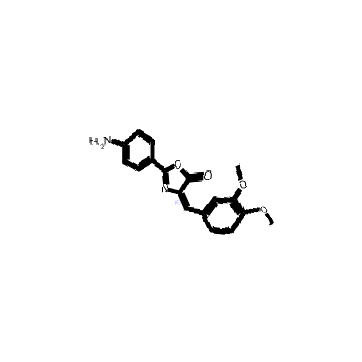 COc1ccc(/C=C2/N=C(c3ccc(N)cc3)OC2=O)cc1OC